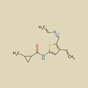 C=C/N=C\c1sc(NC(=O)C2CC2C)cc1C=C